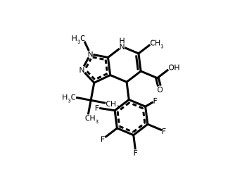 CC1=C(C(=O)O)C(c2c(F)c(F)c(F)c(F)c2F)c2c(C(C)(C)C)nn(C)c2N1